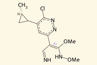 CON/C(OC)=C(\C=N)c1cc(C2C[C@@H]2C)c(Cl)nn1